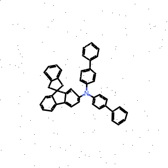 c1ccc(-c2ccc(N(c3ccc(-c4ccccc4)cc3)c3ccc4c(c3)C3(Cc5ccccc5C3)c3ccccc3-4)cc2)cc1